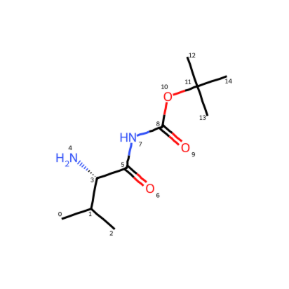 CC(C)[C@H](N)C(=O)NC(=O)OC(C)(C)C